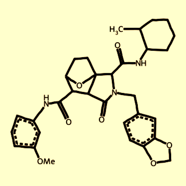 COc1cccc(NC(=O)C2C3CCC4(O3)C2C(=O)N(Cc2ccc3c(c2)OCO3)C4C(=O)NC2CCCCC2C)c1